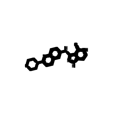 O=c1[nH]ccc2[nH]nc(Nc3ccc4nc(N5CCOCC5)ccc4c3)c12